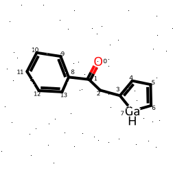 O=C(C[C]1=CC=[CH][GaH]1)c1ccccc1